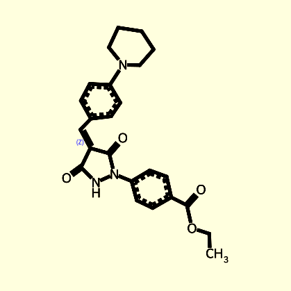 CCOC(=O)c1ccc(N2NC(=O)/C(=C/c3ccc(N4CCCCC4)cc3)C2=O)cc1